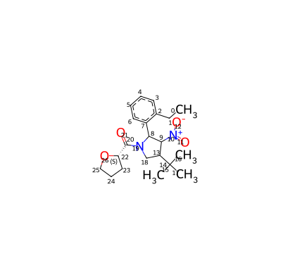 CCc1ccccc1C1C([N+](=O)[O-])C(C(C)(C)C)CN1C(=O)[C@@H]1CCCO1